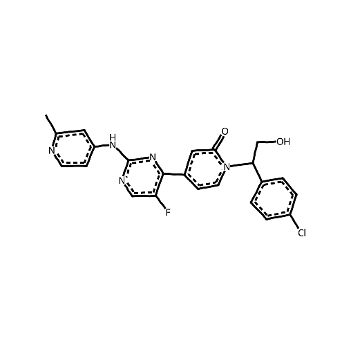 Cc1cc(Nc2ncc(F)c(-c3ccn(C(CO)c4ccc(Cl)cc4)c(=O)c3)n2)ccn1